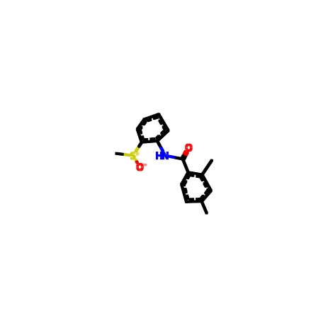 Cc1ccc(C(=O)Nc2ccccc2[S+](C)[O-])c(C)c1